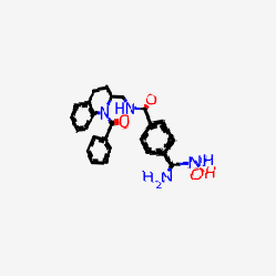 NC(NO)c1ccc(C(=O)NCC2CCc3ccccc3N2C(=O)c2ccccc2)cc1